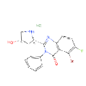 Cl.O=c1c2c(Br)c(F)ccc2nc([C@@H]2C[C@H](O)CN2)n1-c1ccccc1